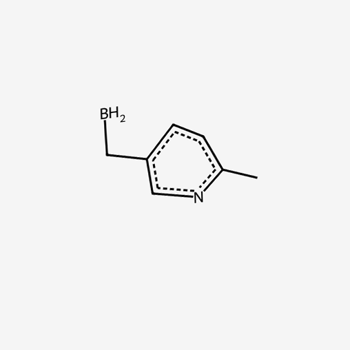 BCc1ccc(C)nc1